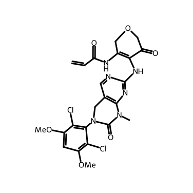 C=CC(=O)NC1=C(Nc2ncc3c(n2)N(C)C(=O)N(c2c(Cl)c(OC)cc(OC)c2Cl)C3)C(=O)COC1